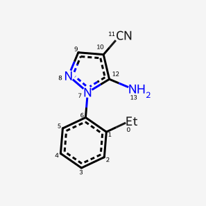 CCc1ccccc1-n1ncc(C#N)c1N